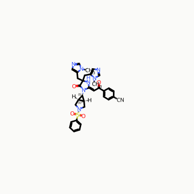 Cn1cncc1CC1(Cc2cncn2C)NC(=CC(=O)c2ccc(C#N)cc2)N([C@H]2[C@@H]3CN(S(=O)(=O)c4ccccc4)C[C@@H]32)C1=O